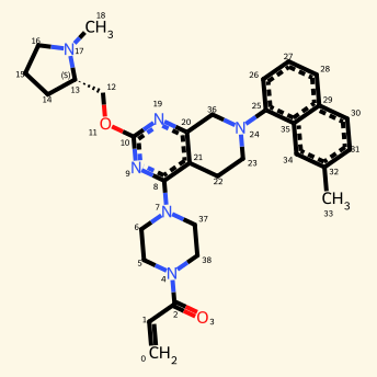 C=CC(=O)N1CCN(c2nc(OC[C@@H]3CCCN3C)nc3c2CCN(c2cccc4ccc(C)cc24)C3)CC1